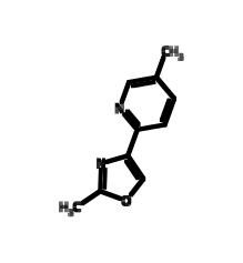 Cc1ccc(-c2coc(C)n2)nc1